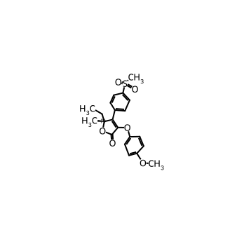 CC[C@@]1(C)OC(=O)C(Oc2ccc(OC)cc2)=C1c1ccc(S(C)(=O)=O)cc1